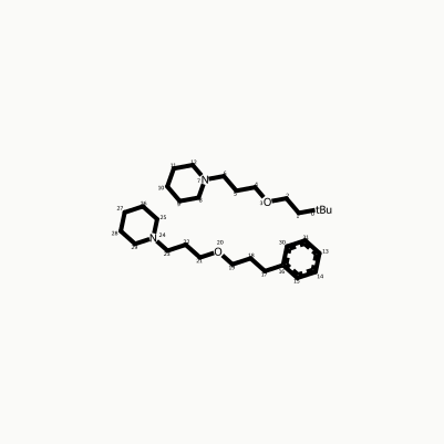 CC(C)(C)CCOCCCN1CCCCC1.c1ccc(CCCOCCCN2CCCCC2)cc1